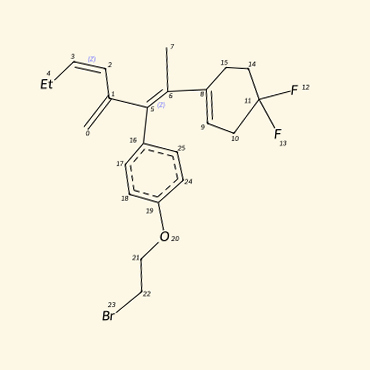 C=C(/C=C\CC)/C(=C(\C)C1=CCC(F)(F)CC1)c1ccc(OCCBr)cc1